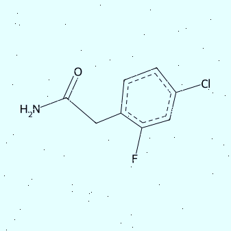 NC(=O)Cc1ccc(Cl)cc1F